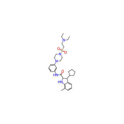 CCN(CC)CCS(=O)(=O)N1CCN(c2cccc(NC(=O)C3Nc4c(C)cccc4C3C3CCCC3)c2)CC1